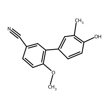 COc1ccc(C#N)cc1-c1ccc(O)c(C)c1